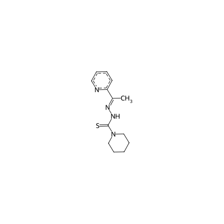 C/C(=N\NC(=S)N1CCCCC1)c1ccccn1